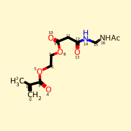 C=C(C)C(=O)OCCOC(=O)CC(=O)NCNC(C)=O